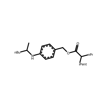 CCCCC(C)Nc1ccc(COC(=O)C(CCC)C(C)CCC)cc1